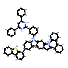 c1ccc(-c2cc(-c3ccccc3)nc(-c3cccc(-n4c5ccc(-c6cccc7c6sc6ccccc67)cc5c5cc6cc7c8ccccc8c8ccccc8n7c6cc54)c3)n2)cc1